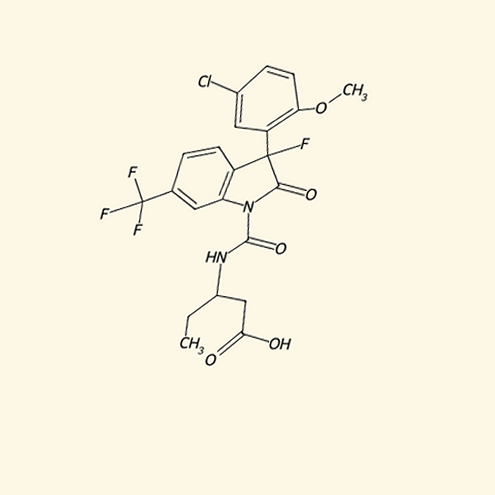 CCC(CC(=O)O)NC(=O)N1C(=O)C(F)(c2cc(Cl)ccc2OC)c2ccc(C(F)(F)F)cc21